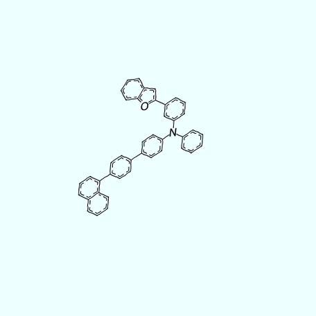 c1ccc(N(c2ccc(-c3ccc(-c4cccc5ccccc45)cc3)cc2)c2cccc(-c3cc4ccccc4o3)c2)cc1